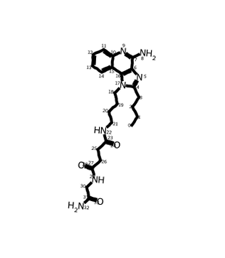 CCCCc1nc2c(N)nc3ccccc3c2n1CCCCNC(=O)CCC(=O)NCC(N)=O